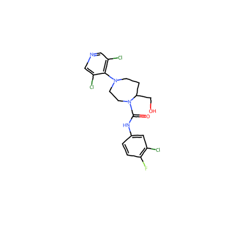 O=C(Nc1ccc(F)c(Cl)c1)N1CCN(c2c(Cl)cncc2Cl)CCC1CO